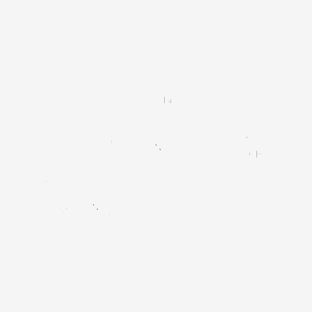 COc1ccc(C2N=C(COc3ccc(F)c(C(N)=O)c3F)SC2Br)cc1